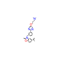 C=C(C)c1ccc2c(c1)N(Cc1cccc(-c3ncc(OCCCN(C)C)cn3)c1)C(=C)O2